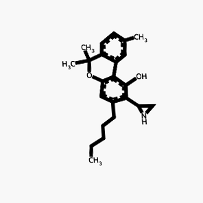 CCCCCc1cc2c(c(O)c1C1CN1)-c1cc(C)ccc1C(C)(C)O2